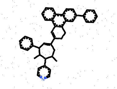 CC1CC(C2=Cc3c(c4cc(-c5ccccc5)ccc4c4ccccc34)CC2)=CC(c2ccccc2)C(C)C1c1ccncc1